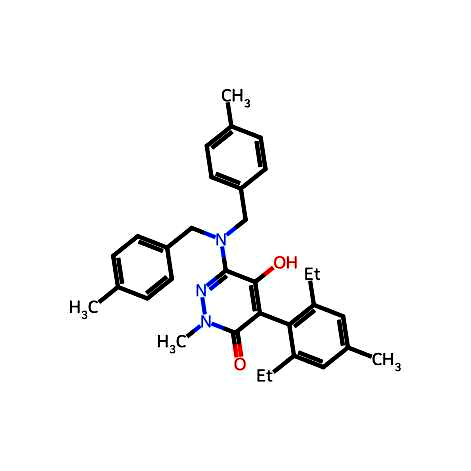 CCc1cc(C)cc(CC)c1-c1c(O)c(N(Cc2ccc(C)cc2)Cc2ccc(C)cc2)nn(C)c1=O